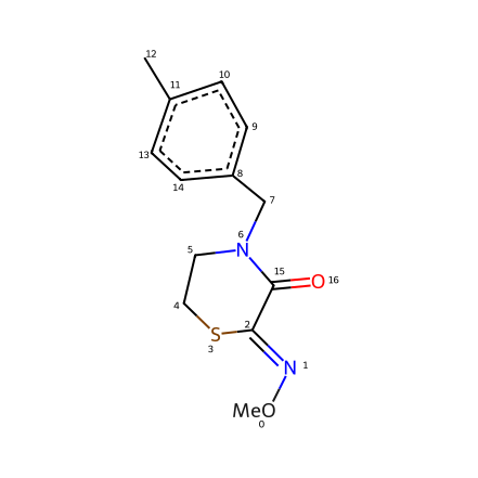 CON=C1SCCN(Cc2ccc(C)cc2)C1=O